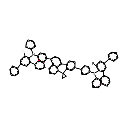 Fc1cc(-c2ccccc2)cc(-c2ccccc2)c1N(c1ccccc1)c1ccc(-c2ccc3c(c2)C2(CC2)c2cccc4c(-c5ccc(N(c6ccccc6)c6c(F)cc(-c7ccccc7)cc6-c6ccccc6)cc5)ccc-3c24)cc1